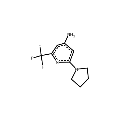 Nc1cc(N2CCCC2)nc(C(F)(F)F)c1